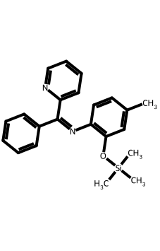 Cc1ccc(N=C(c2ccccc2)c2ccccn2)c(O[Si](C)(C)C)c1